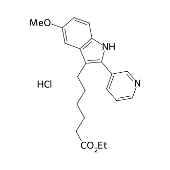 CCOC(=O)CCCCCc1c(-c2cccnc2)[nH]c2ccc(OC)cc12.Cl